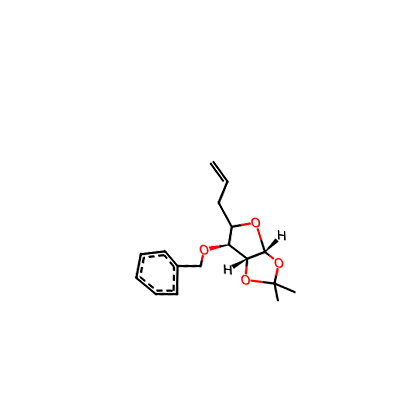 C=CCC1O[C@@H]2OC(C)(C)O[C@@H]2[C@H]1OCc1ccccc1